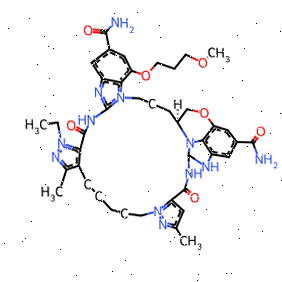 CCn1nc(C)c2c1C(=O)Nc1nc3cc(C(N)=O)cc(OCCCOC)c3n1CCC[C@H]1COc3cc(C(N)=O)cc4c3N1C(NC(=O)c1cc(C)nn1CCCCC2)N4